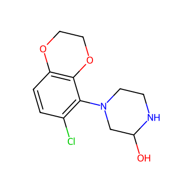 OC1CN(c2c(Cl)ccc3c2OCCO3)CCN1